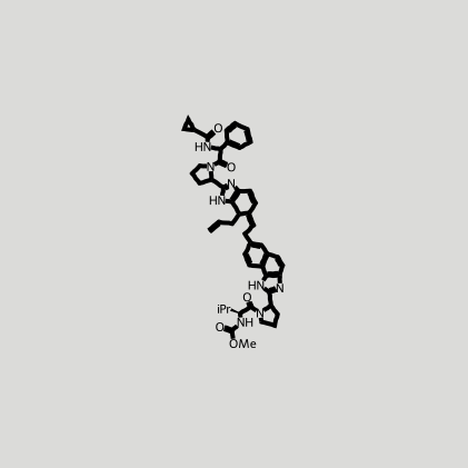 C=CCC1/C(=C\Cc2ccc3c(ccc4nc(C5CCCN5C(=O)[C@@H](NC(=O)OC)C(C)C)[nH]c43)c2)C=Cc2nc(C3CCCN3C(=O)C(NC(=O)C3CC3)c3ccccc3)[nH]c21